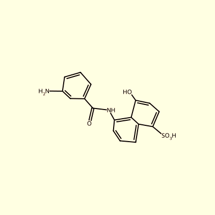 Nc1cccc(C(=O)Nc2cccc3c(S(=O)(=O)O)ccc(O)c23)c1